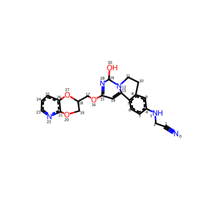 N#CCNc1ccc2c(c1)CCN1C2=CC(OCC2COc3ncccc3O2)=NC1O